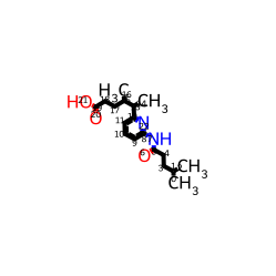 CC(C)CCC(=O)Nc1cccc(C(C)C(C)CCC(=O)O)n1